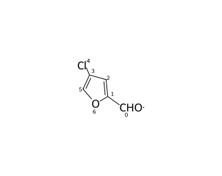 O=[C]c1cc(Cl)co1